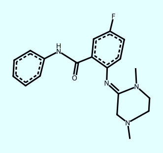 CN1CCN(C)/C(=N\c2ccc(F)cc2C(=O)Nc2ccccc2)C1